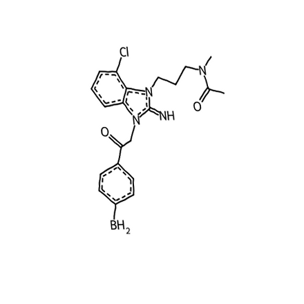 Bc1ccc(C(=O)Cn2c(=N)n(CCCN(C)C(C)=O)c3c(Cl)cccc32)cc1